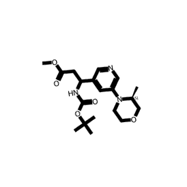 COC(=O)CC(NC(=O)OC(C)(C)C)c1cncc(N2CCOC[C@@H]2C)c1